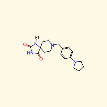 CCN1C(=O)NC(=O)C12CCN(Cc1ccc(N3CCCC3)cc1)CC2